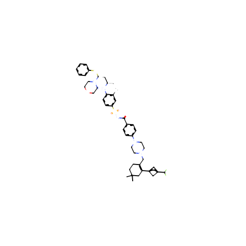 C[C@H](C[C@H](Sc1ccccc1)N1CCOCC1)Nc1ccc(S(=O)(=O)NC(=O)c2ccc(N3CCN(CC4=C(C56CC(C(F)F)(C5)C6)CC(C)(C)CC4)CC3)cc2)cc1[N+](=O)[O-]